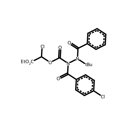 CCOC(=O)C(Cl)OC(=O)N(C(=O)c1ccc(Cl)cc1)N(C(=O)c1ccccc1)C(C)(C)C